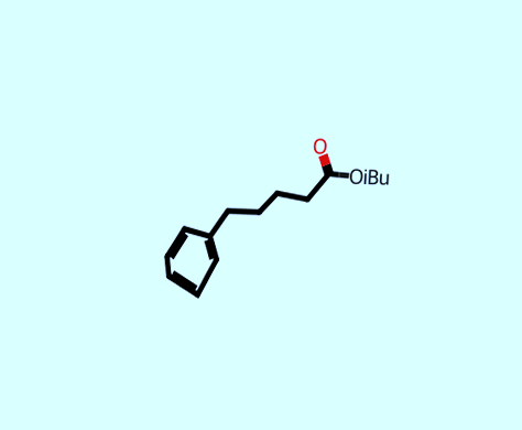 CC(C)COC(=O)CCCCc1ccccc1